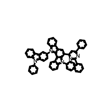 c1ccc(-c2cc(-c3cc4c5ccccc5n(-c5ccc6c(c5)c5ccccc5n6-c5ccccc5)c4c4c5ccccc5n(-c5ccccc5)c34)nc(-c3ccccc3)n2)cc1